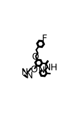 C=C(Nc1ncccc1C)c1cc(OCCc2ccc(F)cc2)cc(OCc2nccn2C)c1